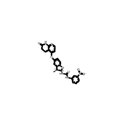 C[C@H]1c2cc(Oc3ccnc4c3CCC(=O)N4)ccc2O[C@H]1NC(=O)Nc1cccc([N+](=O)[O-])c1